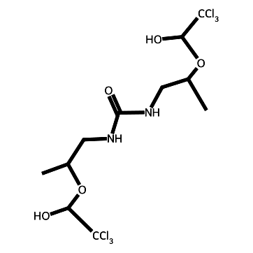 CC(CNC(=O)NCC(C)OC(O)C(Cl)(Cl)Cl)OC(O)C(Cl)(Cl)Cl